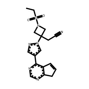 CCS(=O)(=O)N1CC(CC#N)(n2cc(-c3ncnc4c3C=CC4)cn2)C1